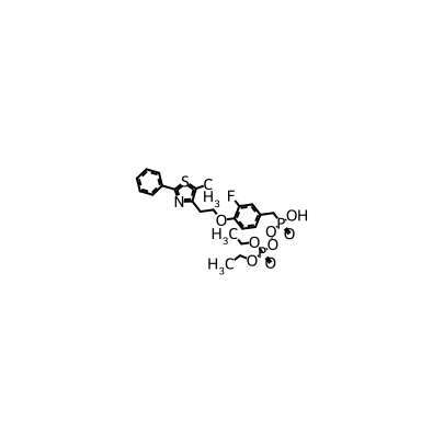 CCOP(=O)(OCC)OOP(=O)(O)Cc1ccc(OCCc2nc(-c3ccccc3)sc2C)c(F)c1